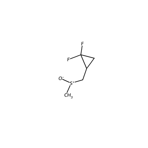 C[S+]([O-])CC1CC1(F)F